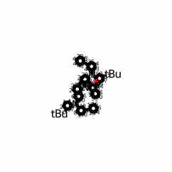 CC(C)(C)c1cccc(N(c2cccc(-c3ccccc3)c2)c2ccc3c(ccc4c5ccc(N(c6cccc(-c7ccccc7)c6)c6cccc(C(C)(C)C)c6)c6c7c(n(c65)c34)-c3ccccc3C7(C)C)c2)c1